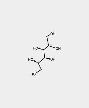 OCC(O)[C@H](O)[C@@H](O)[C@H](O)CO